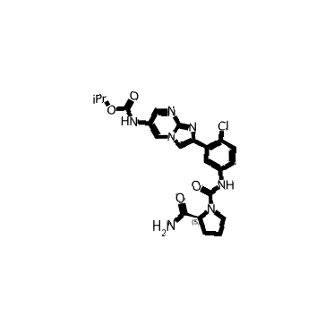 CC(C)OC(=O)Nc1cnc2nc(-c3cc(NC(=O)N4CCC[C@H]4C(N)=O)ccc3Cl)cn2c1